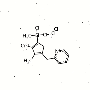 CC1=C(Cc2ccccn2)CC([Si](C)(C)Cl)=[C]1[Cr+2].[Cl-].[Cl-]